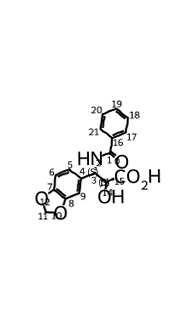 O=C(N[C@@H](c1ccc2c(c1)OCO2)[C@H](O)C(=O)O)c1ccccc1